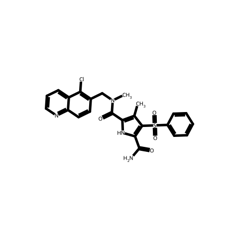 Cc1c(C(=O)N(C)Cc2ccc3ncccc3c2Cl)[nH]c(C(N)=O)c1S(=O)(=O)c1ccccc1